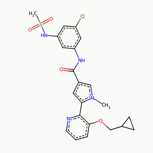 Cn1cc(C(=O)Nc2cc(Cl)cc(NS(C)(=O)=O)c2)cc1-c1ncccc1OCC1CC1